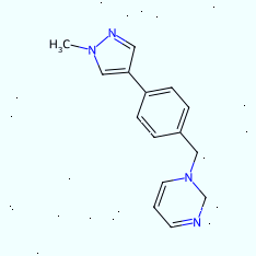 Cn1cc(-c2ccc(CN3C=CC=NC3)cc2)cn1